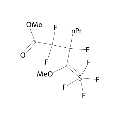 CCCC(F)(C(OC)=S(F)(F)(F)F)C(F)(F)C(=O)OC